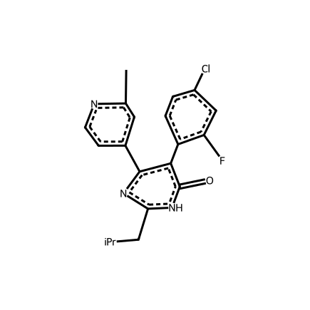 Cc1cc(-c2nc(CC(C)C)[nH]c(=O)c2-c2ccc(Cl)cc2F)ccn1